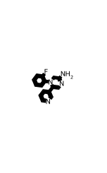 NC1=NC=C(c2cccnc2)N(c2ccccc2F)C1